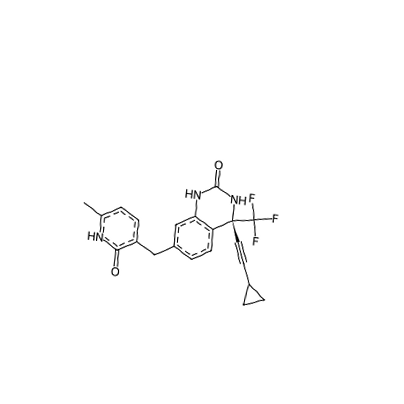 Cc1ccc(Cc2ccc3c(c2)NC(=O)N[C@]3(C#CC2CC2)C(F)(F)F)c(=O)[nH]1